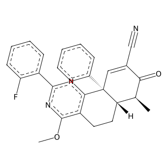 COc1nc(-c2ccccc2F)nc2c1CC[C@H]1[C@H](C)C(=O)C(C#N)=C[C@]21c1ccccc1